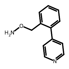 NOCc1ccccc1-c1ccncc1